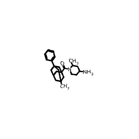 CC1CC(N)CCN1C(=O)C12CC3CC(C)(C1)CC(c1ccccc1)(C3)C2